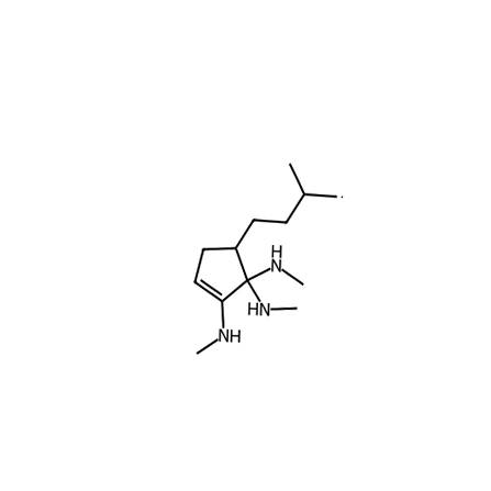 [CH2]C(C)CCC1CC=C(NC)C1(NC)NC